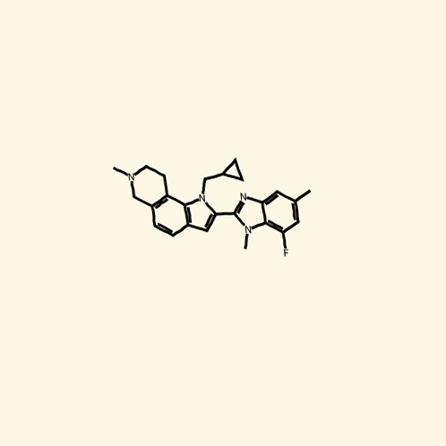 Cc1cc(F)c2c(c1)nc(-c1cc3ccc4c(c3n1CC1CC1)CCN(C)C4)n2C